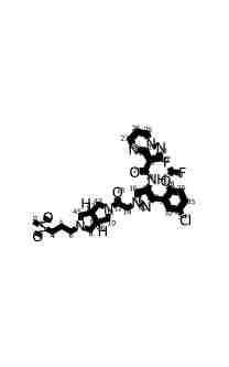 CS(=O)(=O)CCCN1C[C@@H]2CN(C(=O)Cn3cc(NC(=O)c4cnn5cccnc45)c(-c4cc(Cl)ccc4OC(F)F)n3)C[C@@H]2C1